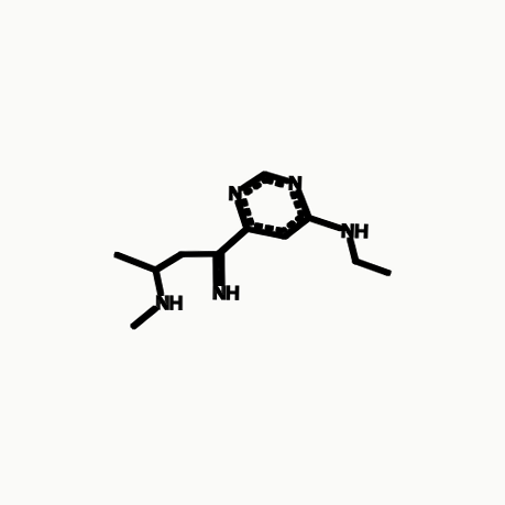 CCNc1cc(C(=N)CC(C)NC)ncn1